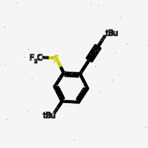 CC(C)(C)C#Cc1ccc(C(C)(C)C)cc1SC(F)(F)F